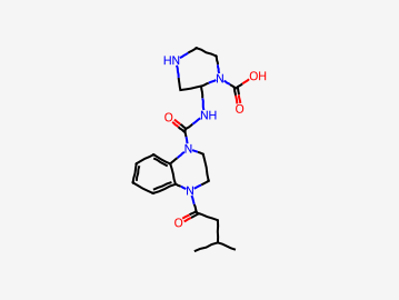 CC(C)CC(=O)N1CCN(C(=O)NC2CNCCN2C(=O)O)c2ccccc21